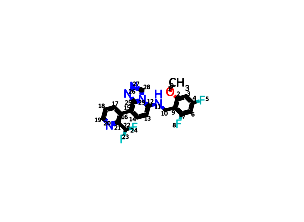 COc1cc(F)cc(F)c1CNc1ccc(-c2cccnc2C(F)F)c2nncn12